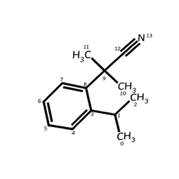 CC(C)c1ccccc1C(C)(C)C#N